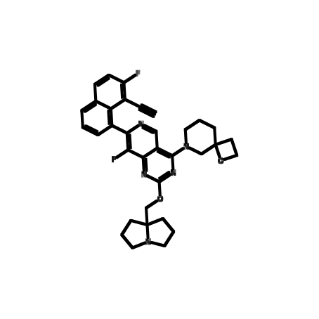 C#Cc1c(F)ccc2cccc(-c3ncc4c(N5CCCC6(CCO6)C5)nc(OCC56CCCN5CCC6)nc4c3F)c12